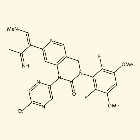 CCc1cnc(N2C(=O)N(c3c(F)c(OC)cc(OC)c3F)Cc3cnc(/C(=C/NC)C(C)=N)cc32)cn1